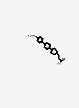 CCCCCCCc1ccc(-c2ccc(C3=CCC(CCC(CC)CC)CC3)cc2)cc1